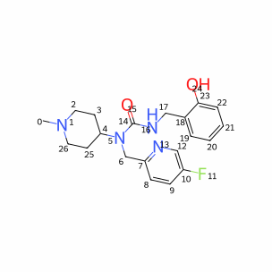 CN1CCC(N(Cc2ccc(F)cn2)C(=O)NCc2ccccc2O)CC1